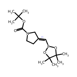 CC(C)(C)OC(=O)N1CC/C(=C\B2OC(C)(C)C(C)(C)O2)C1